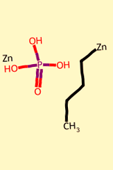 CCC[CH2][Zn].O=P(O)(O)O.[Zn]